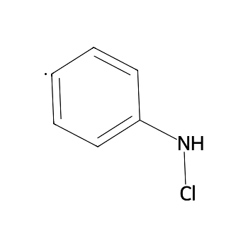 ClNc1cc[c]cc1